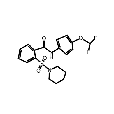 O=C(Nc1ccc(OC(F)F)cc1)c1ccccc1S(=O)(=O)N1CCCCC1